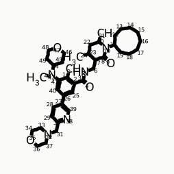 Cc1c(C(=O)NCC2C(=O)N(C3CCCCCCCC3)C(C)CC2C)cc(-c2ccc(CN3CCOCC3)nc2)cc1N(C)C1CCOCC1